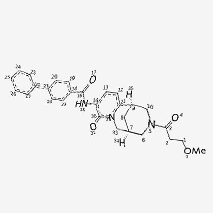 COCCC(=O)N1C[C@@H]2C[C@H](C1)c1ccc(NC(=O)c3ccc(-c4ccccc4)cc3)c(=O)n1C2